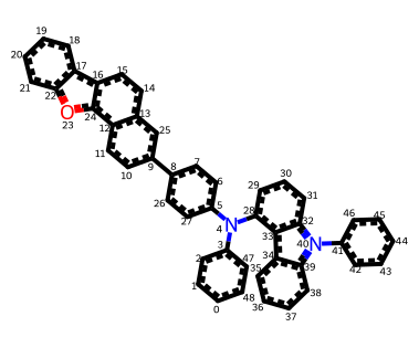 c1ccc(N(c2ccc(-c3ccc4c(ccc5c6ccccc6oc45)c3)cc2)c2cccc3c2c2ccccc2n3-c2ccccc2)cc1